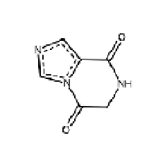 O=C1NCC(=O)n2cncc21